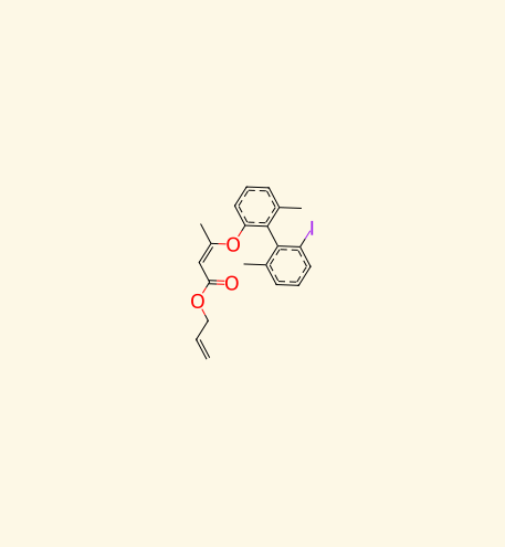 C=CCOC(=O)/C=C(/C)Oc1cccc(C)c1-c1c(C)cccc1I